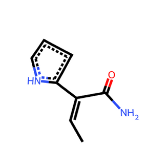 CC=C(C(N)=O)c1ccc[nH]1